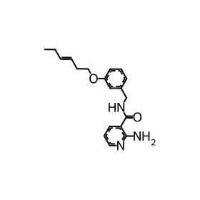 CC/C=C/CCOc1cccc(CNC(=O)c2cccnc2N)c1